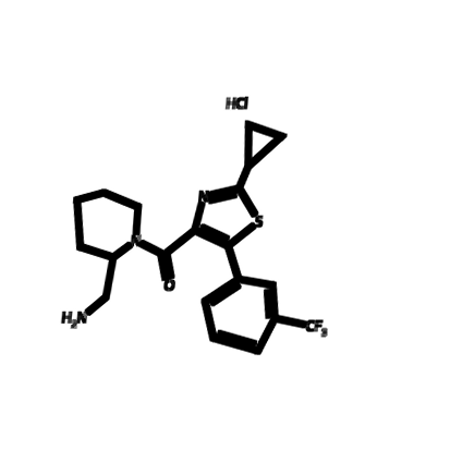 Cl.NCC1CCCCN1C(=O)c1nc(C2CC2)sc1-c1cccc(C(F)(F)F)c1